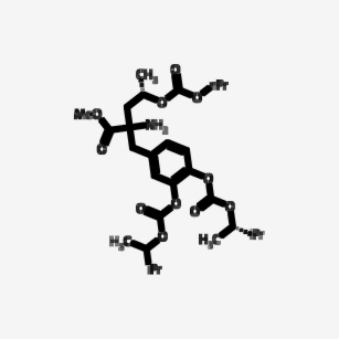 CCCOC(=O)O[C@@H](C)CC(N)(Cc1ccc(OC(=O)O[C@@H](C)C(C)C)c(OC(=O)OC(C)C(C)C)c1)C(=O)OC